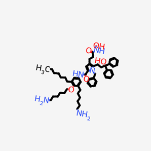 CCCCCCCc1cc(NC(=O)c2cc(CCC(=O)NO)c(CCC(O)(c3ccccc3)c3ccccc3)n2Cc2ccccc2)cc(CCCCCCN)c1OCCCCCCN